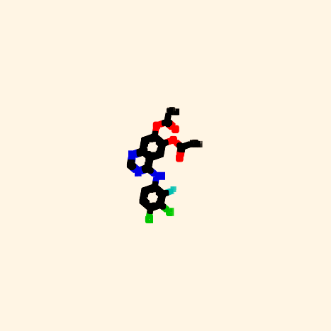 CC(C)(C)C(=O)Oc1cc2ncnc(Nc3ccc(Cl)c(Cl)c3F)c2cc1OC(=O)C(C)(C)C